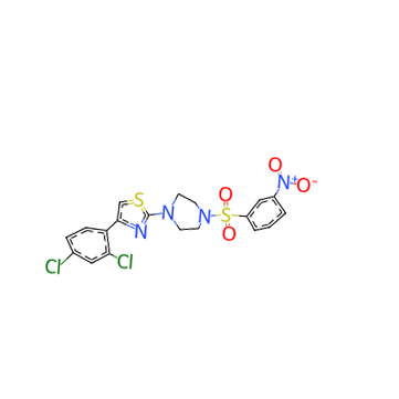 O=[N+]([O-])c1cccc(S(=O)(=O)N2CCN(c3nc(-c4ccc(Cl)cc4Cl)cs3)CC2)c1